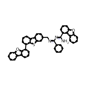 N/C(=N\C(=N/Cc1ccc2c(c1)sc1c(-c3cccc4c3oc3ccccc34)cccc12)c1ccccc1)c1cccc2oc3ccccc3c12